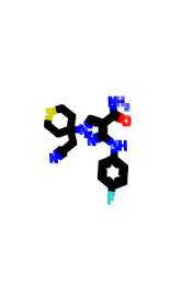 N#CCC1(n2cc(C(N)=O)c(Nc3ccc(F)cc3)n2)CCSCC1